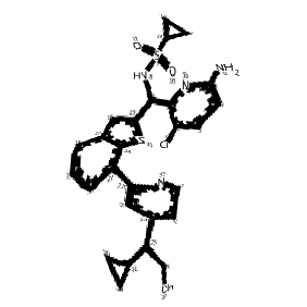 Nc1ccc(Cl)c(C(NS(=O)(=O)C2CC2)c2cc3cccc(-c4cc(C(CO)C5CC5)ccn4)c3s2)n1